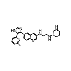 Cc1cccc(-c2[nH]cnc2-c2ccc3ncc(NCCN[C@@H]4CCCNC4)cc3c2)n1